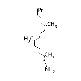 C/C(=C\CN)CCC[C@H](C)CCC[C@H](C)CCCC(C)C